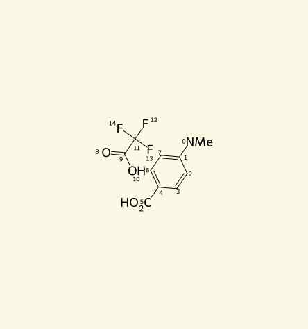 CNc1ccc(C(=O)O)cc1.O=C(O)C(F)(F)F